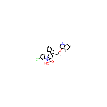 C[C@@H]1Cc2nccc(OC[C@H](C)C[C@H]3Cc4ccccc4C34CCC(Nc3cccc(Cl)c3)(C(=O)O)CC4)c2[C@@H](C)C1